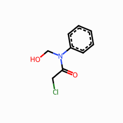 O=C(CCl)N(CO)c1ccccc1